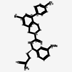 CC(=O)Nc1cccc([C@H](CCC(N)=O)NC(=O)N2CCc3c(cc(Br)cc3-c3ccc(C(F)(F)F)cc3)C2)c1